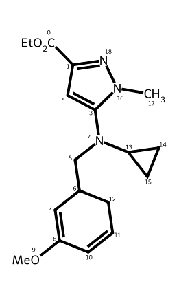 CCOC(=O)c1cc(N(CC2C=C(OC)C=CC2)C2CC2)n(C)n1